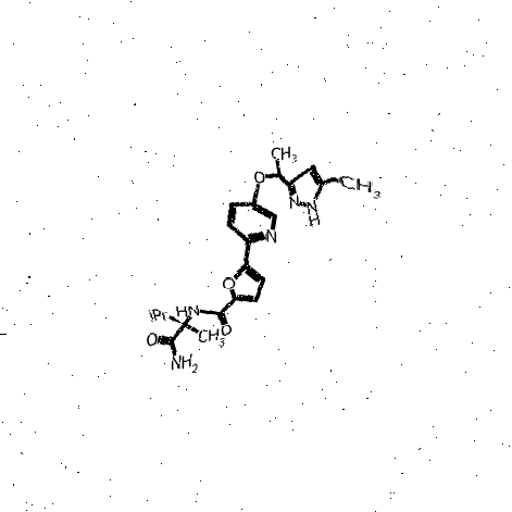 Cc1cc(C(C)Oc2ccc(-c3ccc(C(=O)N[C@](C)(C(N)=O)C(C)C)o3)nc2)n[nH]1